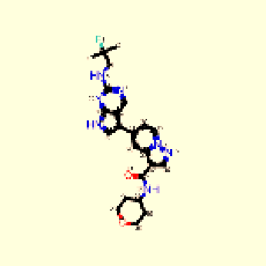 CC(C)(F)CNc1ncc2c(-c3ccn4ncc(C(=O)NC5CCOCC5)c4c3)c[nH]c2n1